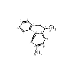 CC(Cc1ccncc1)c1ccc(N)cc1